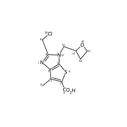 Cc1c(C(=O)O)sc2c1nc(CCl)n2CC1CCO1